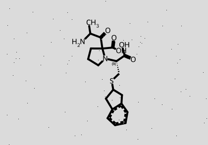 CC(N)C(=O)C1(C(=O)O)CCCN1[C@@H](CSC1Cc2ccccc2C1)C(=O)O